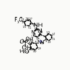 O=P(O)(O)c1cc(/N=N/c2ccccc2-c2ccnc(Nc3ccc(C(F)(F)F)cc3)n2)ccc1O